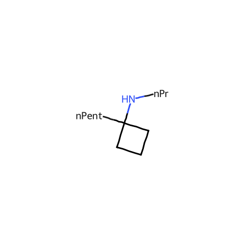 CCCCCC1(NCCC)CCC1